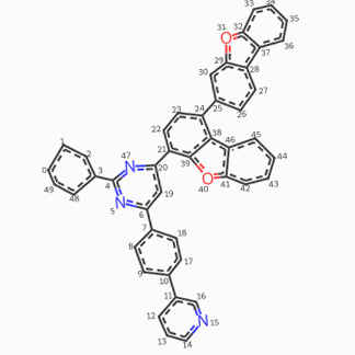 c1ccc(-c2nc(-c3ccc(-c4cccnc4)cc3)cc(-c3ccc(-c4ccc5c(c4)oc4ccccc45)c4c3oc3ccccc34)n2)cc1